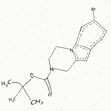 CC(C)(C)OC(=O)N1CCn2c(cc3ccc(Br)cc32)C1